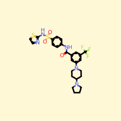 O=C(Nc1ccc(S(=O)(=O)Nc2nccs2)cc1)c1cc(N2CCC(N3CCCC3)CC2)cc(C(F)(F)F)c1